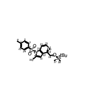 Cc1ccc(S(=O)(=O)n2c(I)cc3c(CO[Si](C)(C)C(C)(C)C)nccc32)cc1